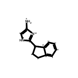 Nc1c[nH]c(C2CCc3ccccc32)n1